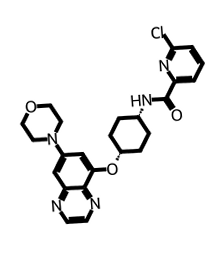 O=C(N[C@H]1CC[C@@H](Oc2cc(N3CCOCC3)cc3nccnc23)CC1)c1cccc(Cl)n1